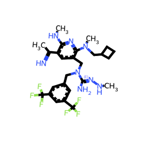 CN/N=C(\N)N(Cc1cc(C(F)(F)F)cc(C(F)(F)F)c1)Cc1cc(C(C)=N)c(NC)nc1N(C)CC1CCC1